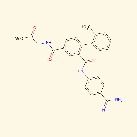 COC(=O)CNC(=O)c1ccc(-c2ccccc2C(=O)O)c(C(=O)Nc2ccc(C(=N)N)cc2)c1